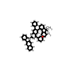 CC1(C)c2ccccc2-c2c(-c3cc4c(-c5ccccc5)nc(-n5c6ccccc6c6cc7ccccc7cc65)nc4cc3-c3ccccc3)cccc21